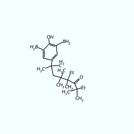 Bc1cc(C(C)(C)CC(C)(C)C(C)(CC)C(=O)C(C)(C)CC)cc(B)c1O